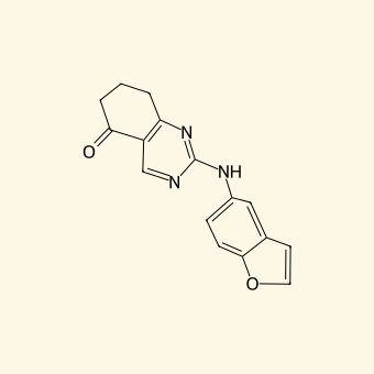 O=C1CCCc2nc(Nc3ccc4occc4c3)ncc21